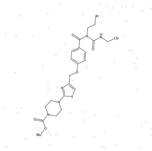 CC(C)CCN(C(=O)NCC#N)C(=O)c1ccc(OCc2csc(N3CCN(C(=O)OC(C)(C)C)CC3)n2)cc1